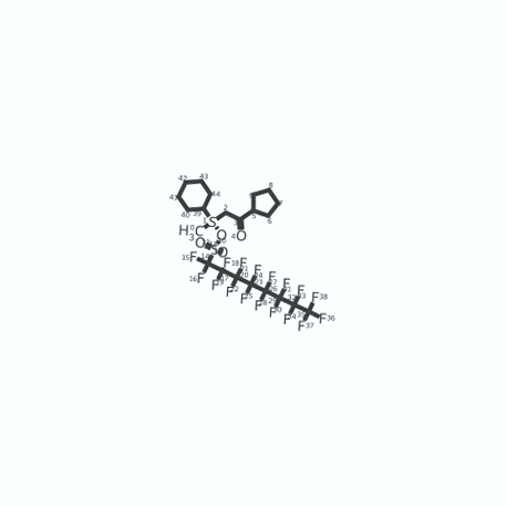 CS(CC(=O)C1CCCC1)(OS(=O)(=O)C(F)(F)C(F)(F)C(F)(F)C(F)(F)C(F)(F)C(F)(F)C(F)(F)C(F)(F)F)C1CCCCC1